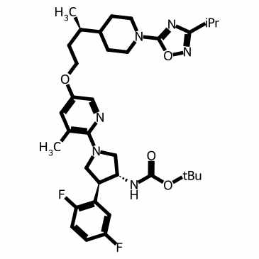 Cc1cc(OCC[C@@H](C)C2CCN(c3nc(C(C)C)no3)CC2)cnc1N1C[C@H](NC(=O)OC(C)(C)C)[C@@H](c2cc(F)ccc2F)C1